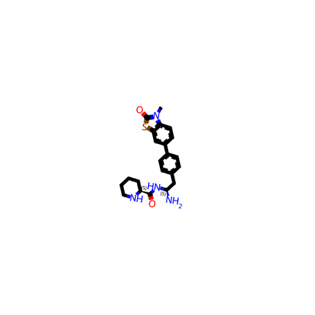 Cn1c(=O)sc2cc(-c3ccc(C[C@@H](N)NC(=O)[C@@H]4CCCCN4)cc3)ccc21